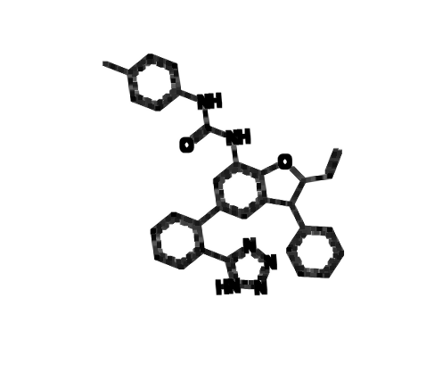 C=CC1Oc2c(NC(=O)Nc3ccc(C)cc3)cc(-c3ccccc3-c3nnn[nH]3)cc2C1c1ccccc1